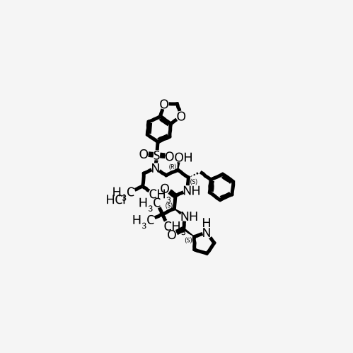 CC(C)CN(C[C@@H](O)[C@H](Cc1ccccc1)NC(=O)[C@@H](NC(=O)[C@@H]1CCCN1)C(C)(C)C)S(=O)(=O)c1ccc2c(c1)OCO2.Cl